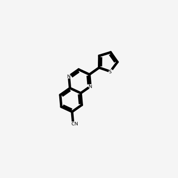 N#Cc1ccc2n[c]c(-c3cccs3)nc2c1